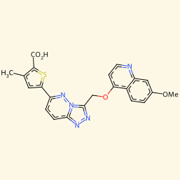 COc1ccc2c(OCc3nnc4ccc(-c5cc(C)c(C(=O)O)s5)nn34)ccnc2c1